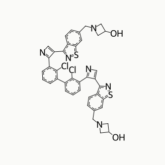 OC1CN(Cc2ccc3c(C4=CN=C4c4cccc(-c5cccc(C6=NC=C6c6nsc7cc(CN8CC(O)C8)ccc67)c5Cl)c4Cl)nsc3c2)C1